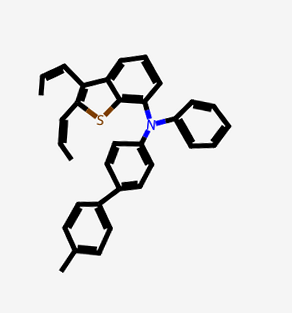 C/C=C\c1sc2c(N(c3ccccc3)c3ccc(-c4ccc(C)cc4)cc3)cccc2c1/C=C\C